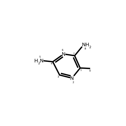 Cc1ncc(N)nc1N